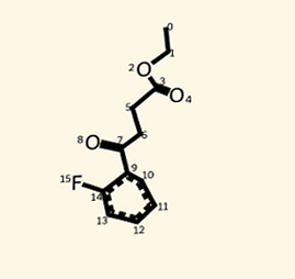 CCOC(=O)CCC(=O)c1ccccc1F